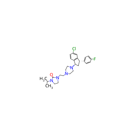 CC(C)N1CCN(CCN2CCN([C@@H]3C[C@@H](c4ccc(F)cc4)c4cc(Cl)ccc43)CC2)C1=O